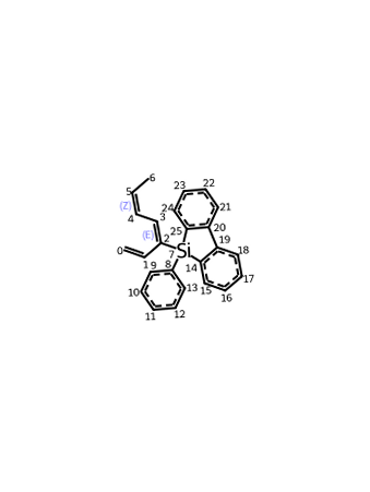 C=C/C(=C\C=C/C)[Si]1(c2ccccc2)c2ccccc2-c2ccccc21